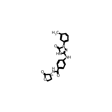 Cc1cccc(-n2nc(Nc3ccc(C(=O)N[C@@H]4CCOC4=O)cc3)[nH]c2=O)c1